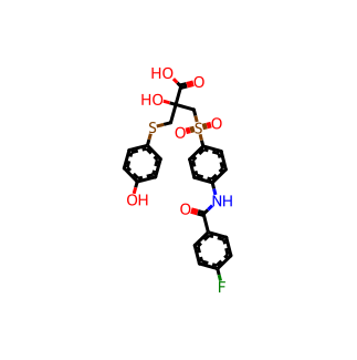 O=C(Nc1ccc(S(=O)(=O)CC(O)(CSc2ccc(O)cc2)C(=O)O)cc1)c1ccc(F)cc1